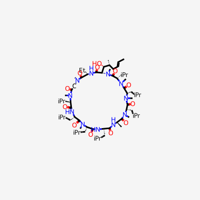 C/C=C/C[C@@H](C)[C@@H](O)[C@H]1C(=O)N[C@@H](CC)C(=O)N(C)CC(=O)N(C)[C@H](C(C)C)C(=O)N[C@@H](CC(C)C)C(=O)N(C)[C@@H](CC(C)C)C(=O)N[C@@H](CC(C)C)C(=O)N[C@H](C)C(=O)N(C)[C@@H](CC(C)C)C(=O)N(C)[C@@H](CC(C)C)C(=O)N(C)[C@@H](C(C)C)C(=O)N1C